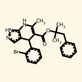 CC1=C(C(=O)OC(C)(C)Cc2ccccc2)C(c2ccccc2Br)c2cn[nH]c2N1